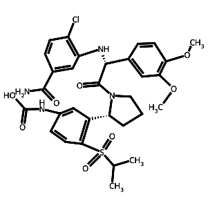 COc1ccc([C@@H](Nc2cc(C(N)=O)ccc2Cl)C(=O)N2CCC[C@@H]2c2cc(NC(=O)O)ccc2S(=O)(=O)C(C)C)cc1OC